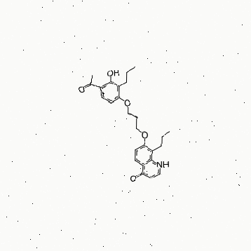 CCCc1c(OCCCOc2ccc3c(=O)cc[nH]c3c2CCC)ccc(C(C)=O)c1O